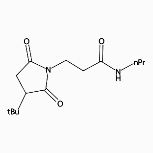 CCCNC(=O)CCN1C(=O)CC(C(C)(C)C)C1=O